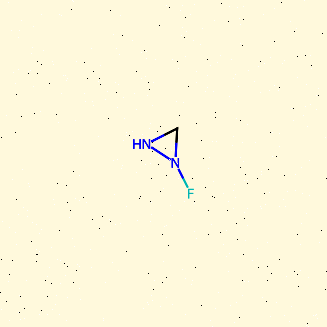 FN1CN1